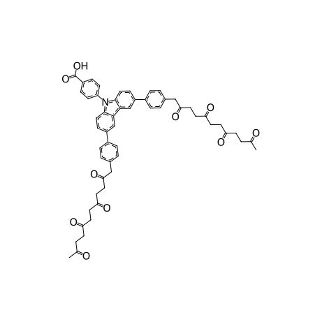 CC(=O)CCC(=O)CCC(=O)CCC(=O)Cc1ccc(-c2ccc3c(c2)c2cc(-c4ccc(CC(=O)CCC(=O)CCC(=O)CCC(C)=O)cc4)ccc2n3-c2ccc(C(=O)O)cc2)cc1